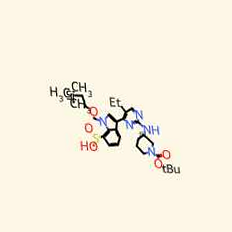 CCc1cnc(N[C@H]2CCCN(C(=O)OC(C)(C)C)C2)nc1-c1cn(COCC[Si](C)(C)C)c2c(S(=O)O)cccc12